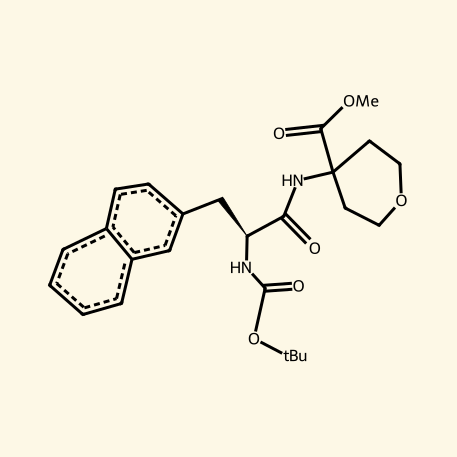 COC(=O)C1(NC(=O)[C@H](Cc2ccc3ccccc3c2)NC(=O)OC(C)(C)C)CCOCC1